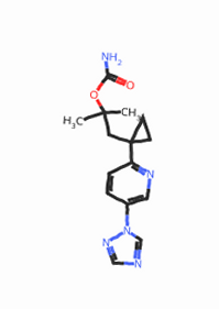 CC(C)(CC1(c2ccc(-n3cncn3)cn2)CC1)OC(N)=O